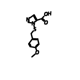 COc1ccc(CSn2cncc2C(=O)O)cc1